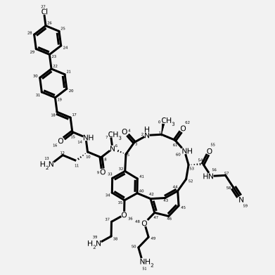 C[C@@H]1NC(=O)[C@@H](N(C)C(=O)[C@H](CCN)NC(=O)/C=C/c2ccc(-c3ccc(Cl)cc3)cc2)c2ccc(OCCN)c(c2)-c2cc(ccc2OCCN)C[C@@H](C(=O)NCC#N)NC1=O